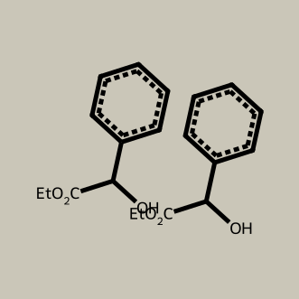 CCOC(=O)C(O)c1ccccc1.CCOC(=O)C(O)c1ccccc1